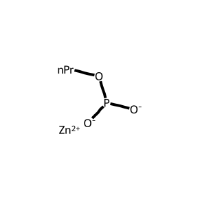 CCCOP([O-])[O-].[Zn+2]